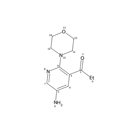 CCC(=O)c1cc(N)cnc1N1CCOCC1